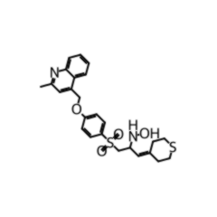 Cc1cc(COc2ccc(S(=O)(=O)CC(C=C3CCSCC3)NO)cc2)c2ccccc2n1